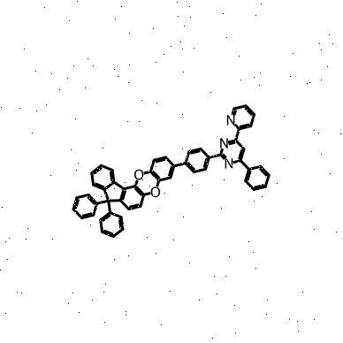 c1ccc(-c2cc(-c3ccccn3)nc(-c3ccc(-c4ccc5c(c4)Oc4ccc6c(c4O5)-c4ccccc4C6(c4ccccc4)c4ccccc4)cc3)n2)cc1